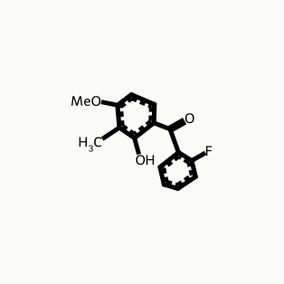 COc1ccc(C(=O)c2ccccc2F)c(O)c1C